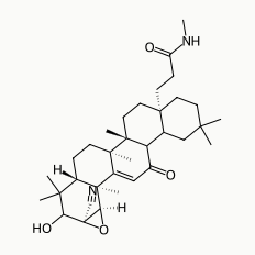 CNC(=O)CC[C@]12CCC(C)(C)CC1C1C(=O)C=C3[C@@]4(C)[C@H]5O[C@@]5(C#N)C(O)C(C)(C)[C@@H]4CC[C@@]3(C)[C@]1(C)CC2